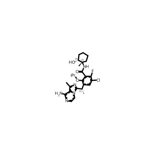 Cc1nc([C@@H](C)c2cc(Cl)c(F)c(C(=O)N[C@@]3(C)CCCC[C@H]3O)c2OC(C)C)n2ccnc(N)c12